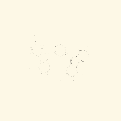 Fc1cc2c(c(F)c1F)c1c(F)c(F)c(F)cc1n2-c1cccc(-n2c3cc(F)c(F)c(F)c3c3c(F)c(F)c(F)cc32)c1